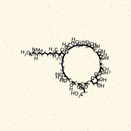 C/N=C(\NC)NCCCCC/C=C(\C)CC(C)C1OC(=O)C(C)C(O)/C(C)=C/CC(O)C(C)C(O)CC(O)C(C)C(O)CCC(C)C(O)CC2(O)OC(CC(OC(=O)CC(=O)O)CC(O)CC(O)CC(O)C(C)C(O)/C=C/C=C/C1C)CC(O)C2O